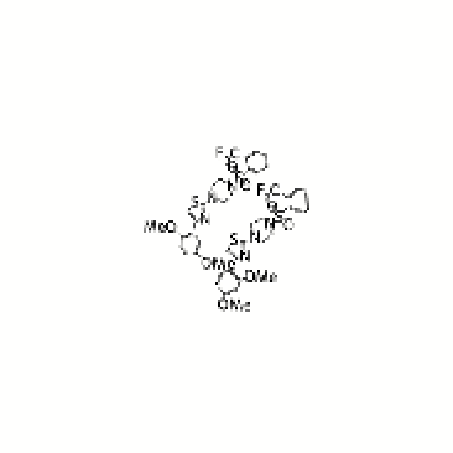 COc1ccc(-c2csc(N3CCN(S(=O)(=O)c4ccccc4C(F)(F)F)CC3)n2)c(OC)c1.COc1ccc(OC)c(-c2csc(N3CCN(S(=O)(=O)c4ccccc4C(F)(F)F)CC3)n2)c1